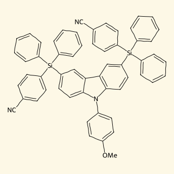 COc1ccc(-n2c3ccc([Si](c4ccccc4)(c4ccccc4)c4ccc(C#N)cc4)cc3c3cc([Si](c4ccccc4)(c4ccccc4)c4ccc(C#N)cc4)ccc32)cc1